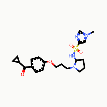 Cn1cnc(S(=O)(=O)NC2CCCN2CCCOc2ccc(C(=O)C3CC3)cc2)c1